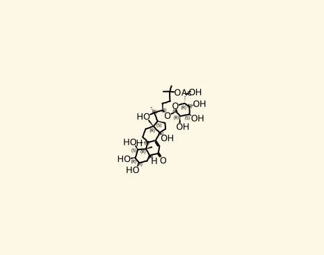 CC(=O)OC(C)(C)CC[C@@H](O[C@H]1O[C@H](CO)[C@H](O)[C@H](O)[C@H]1O)[C@](C)(O)[C@H]1CC[C@@]2(O)C3=CC(=O)[C@@H]4C[C@@H](O)[C@@H](O)[C@@H](O)[C@]4(C)[C@H]3CC[C@]12C